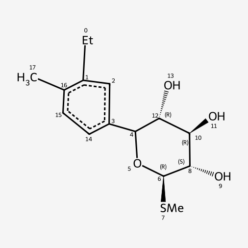 CCc1cc(C2O[C@H](SC)[C@@H](O)[C@H](O)[C@H]2O)ccc1C